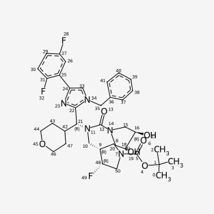 CC(C)(C)OC(=O)N1C[C@@H](CN(C(=O)N2C[C@@H](O)[C@@H](O)C2)[C@@H](c2nc(-c3cc(F)ccc3F)cn2Cc2ccccc2)C2CCOCC2)[C@@H](F)C1